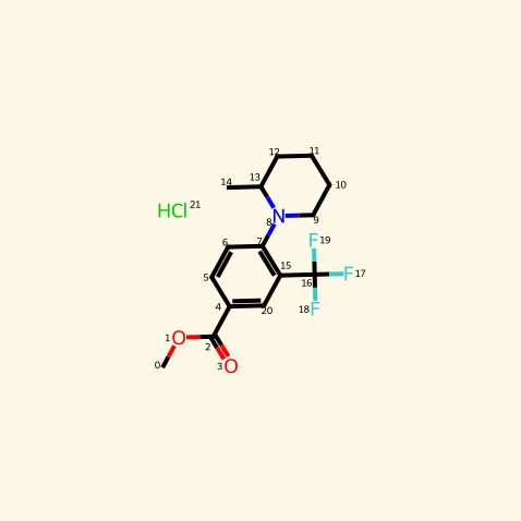 COC(=O)c1ccc(N2CCCCC2C)c(C(F)(F)F)c1.Cl